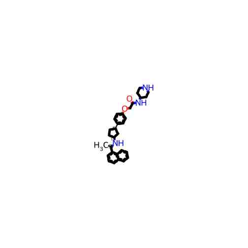 C[C@@H](N[C@H]1CC[C@@H](c2ccc(OCC(=O)NC3CCNCC3)cc2)C1)c1cccc2ccccc12